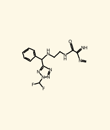 C=NC(=N)C(=O)NCCNC(c1ccccc1)c1nnn(C(F)F)n1